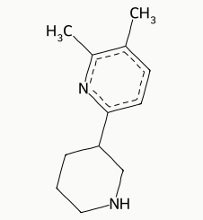 Cc1ccc(C2CCCNC2)nc1C